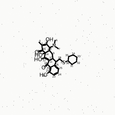 CC1=C(O)C(N(C)C)C2CC3C(=C(O)C2(O)C1=O)C(=O)c1c(O)cccc1C3CSC1CCCCC1